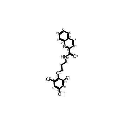 O=C(NCCCOc1c(Cl)cc(O)cc1Cl)c1ccc2ccccc2n1